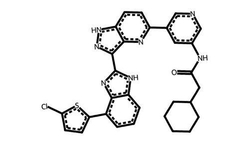 O=C(CC1CCCCC1)Nc1cncc(-c2ccc3[nH]nc(-c4nc5c(-c6ccc(Cl)s6)cccc5[nH]4)c3n2)c1